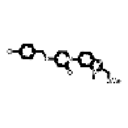 COCc1nc2ccc(-n3ccc(OCc4ccc(Cl)cc4)cc3=O)cc2n1C